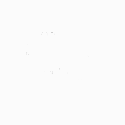 C=CCOCC(C)(C)S(=O)(=O)C1(CN2CCc3c(C(=O)OCC)nn(C)c3C2=O)CC1